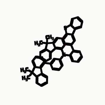 CC1(C)c2ccccc2-c2c(-c3cccc(N(c4ccccc4-c4ccc5sc6ccccc6c5c4)c4cccc5c4-c4ccccc4C5(C)C)c3)cccc21